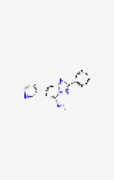 Nc1cc(-c2cccnc2)cc2nc(-c3ccccc3)nn12